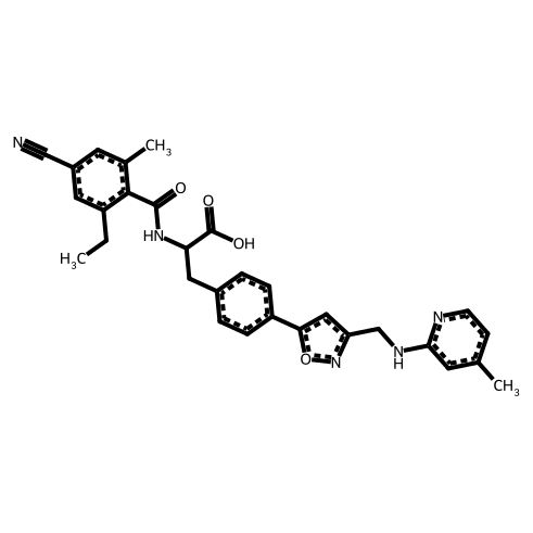 CCc1cc(C#N)cc(C)c1C(=O)NC(Cc1ccc(-c2cc(CNc3cc(C)ccn3)no2)cc1)C(=O)O